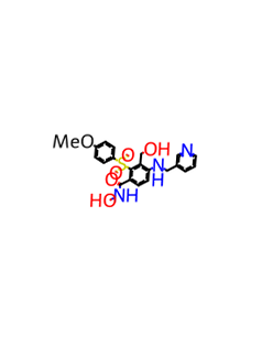 COc1ccc(S(=O)(=O)c2c(C(=O)NO)ccc(NCc3cccnc3)c2CO)cc1